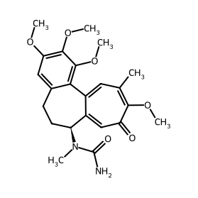 COc1cc2c(c(OC)c1OC)-c1cc(C)c(OC)c(=O)cc1[C@@H](N(C)C(N)=O)CC2